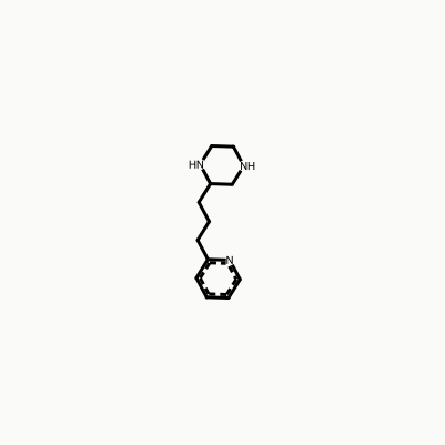 c1ccc(CCCC2CNCCN2)nc1